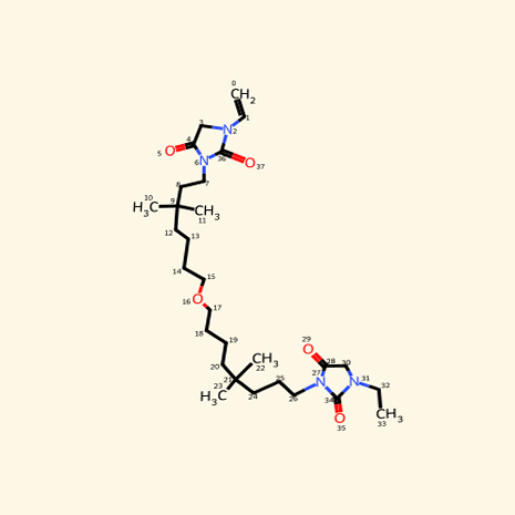 C=CN1CC(=O)N(CCC(C)(C)CCCCOCCCCC(C)(C)CCCN2C(=O)CN(CC)C2=O)C1=O